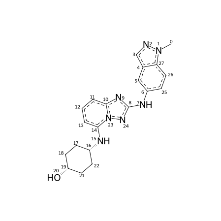 Cn1ncc2cc(Nc3nc4cccc(N[C@H]5CC[C@@H](O)CC5)n4n3)ccc21